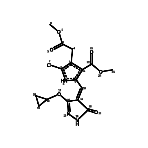 COC(=O)Cc1c(Cl)[nH]c(/C=C2/C(=O)NN=C2OC2CC2)c1C(=O)OC